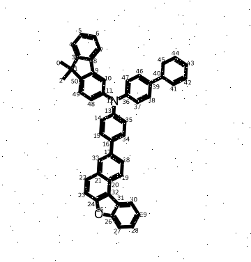 CC1(C)c2ccccc2-c2cc(N(c3ccc(-c4ccc5c(ccc6oc7ccccc7c65)c4)cc3)c3ccc(C4C=CC=CC4)cc3)ccc21